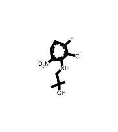 CC(C)(O)CNc1c([N+](=O)[O-])ccc(F)c1Cl